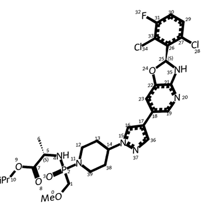 COCP(=O)(N[C@@H](C)C(=O)OC(C)C)N1CCC(n2cc(-c3cnc4c(c3)O[C@@H](c3c(Cl)ccc(F)c3Cl)N4)cn2)CC1